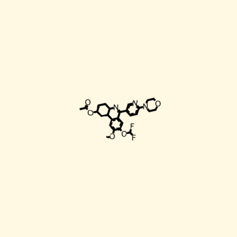 COc1cc2c(cc1OC(F)F)C(c1ccc(N3CCOCC3)nc1)=NC1CCC(OC(C)=O)CC21